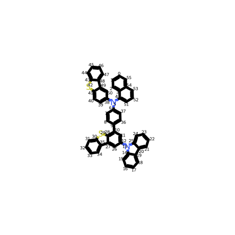 c1ccc2c(N(c3ccc(-c4cc(-n5c6ccccc6c6ccccc65)cc5c4sc4ccccc45)cc3)c3ccc4sc5ccccc5c4c3)cccc2c1